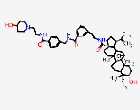 C=C(C)[C@@H]1CC[C@]2(C(=O)NCCc3cccc(C(=O)NCc4ccc(C(=O)NCCN5CCC(O)CC5)cc4)c3)CC[C@]3(C)C(CCC4[C@@]5(C)CC[C@H](O)C(C)(C)C5CC[C@]43C)C12